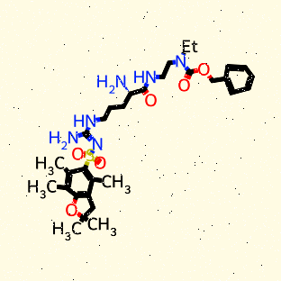 CCN(CCNC(=O)[C@@H](N)CCCN/C(N)=N/S(=O)(=O)c1c(C)c(C)c2c(c1C)CC(C)(C)O2)C(=O)OCc1ccccc1